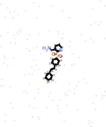 NCc1cccnc1S(=O)(=O)c1ccc(C=Cc2ccc(F)cc2)cc1